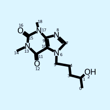 CC(O)CCCn1cnc2c1c(=O)n(C)c(=O)n2C